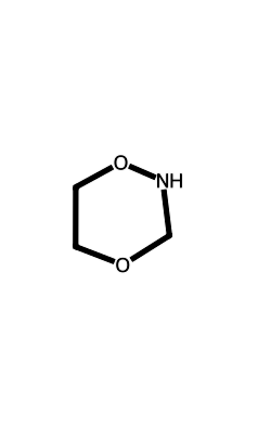 C1CONCO1